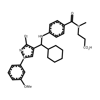 CCc1nn(-c2cccc(OC)c2)cc1C(Nc1ccc(C(=O)N(C)CCC(=O)O)cc1)C1CCCCC1